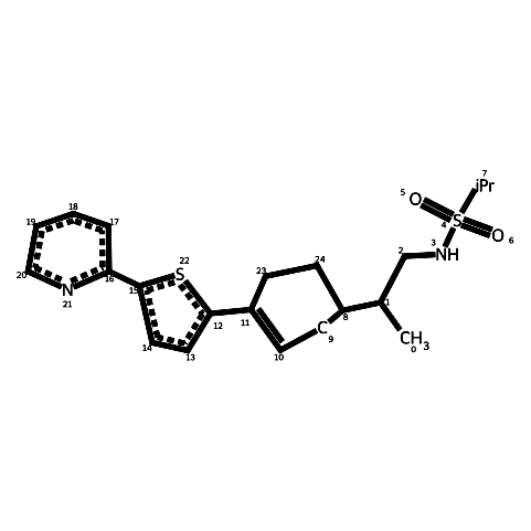 CC(CNS(=O)(=O)C(C)C)C1CC=C(c2ccc(-c3ccccn3)s2)CC1